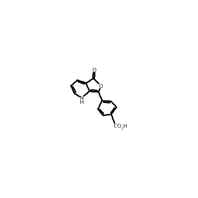 O=C(O)c1ccc(-c2oc(=O)c3ccc[nH]c2-3)cc1